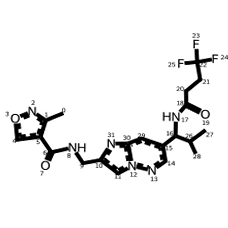 Cc1nocc1C(=O)NCc1cn2ncc(C(NC(=O)CCC(F)(F)F)C(C)C)cc2n1